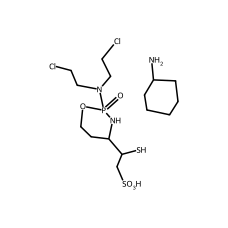 NC1CCCCC1.O=P1(N(CCCl)CCCl)NC(C(S)CS(=O)(=O)O)CCO1